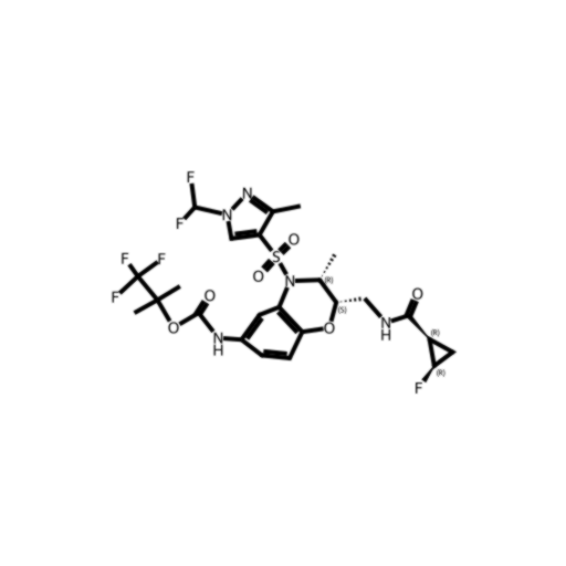 Cc1nn(C(F)F)cc1S(=O)(=O)N1c2cc(NC(=O)OC(C)(C)C(F)(F)F)ccc2O[C@@H](CNC(=O)[C@H]2C[C@H]2F)[C@H]1C